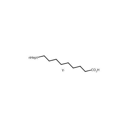 CCCCCCCCCCCCCCCC(=O)O.[Y]